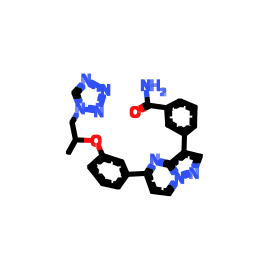 CC(Cn1cnnn1)Oc1cccc(-c2ccn3ncc(-c4cccc(C(N)=O)c4)c3n2)c1